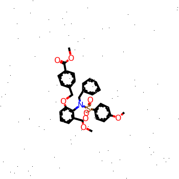 COC(=O)c1ccc(COc2cccc(C(=O)OC)c2N(Cc2ccccc2)S(=O)(=O)c2ccc(OC)cc2)cc1